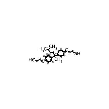 CC(C)CCC(C)(c1ccc(OCCO)cc1)c1ccc(OCCO)cc1